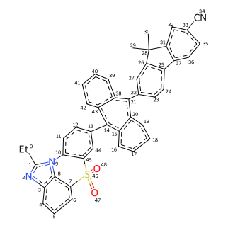 CCc1nc2cccc3c2n1-c1ccc(-c2c4ccccc4c(-c4ccc5c(c4)C(C)(C)c4cc(C#N)ccc4-5)c4ccccc24)cc1S3(=O)=O